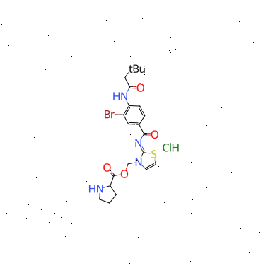 CC(C)(C)CC(=O)Nc1ccc(C(=O)N=c2sccn2COC(=O)C2CCCN2)cc1Br.Cl